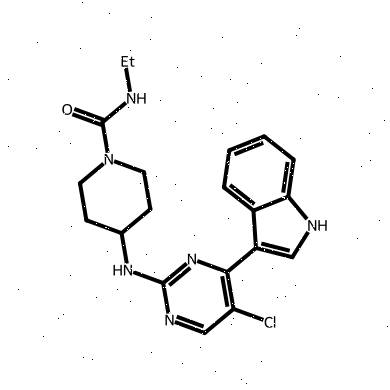 CCNC(=O)N1CCC(Nc2ncc(Cl)c(-c3c[nH]c4ccccc34)n2)CC1